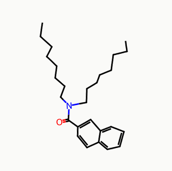 CCCCCCCCN(CCCCCCCC)C(=O)c1ccc2ccccc2c1